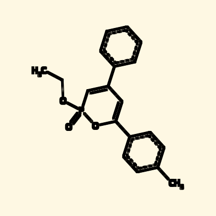 CCOP1(=O)C=C(c2ccccc2)C=C(c2ccc(C)cc2)O1